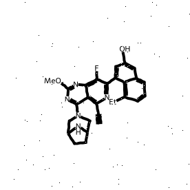 C#Cc1nc(-c2cc(O)cc3cccc(CC)c23)c(F)c2nc(OC)nc(N3CC4CCC(C3)N4)c12